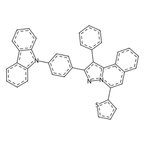 c1ccc(-c2c(-c3ccc(-n4c5ccccc5c5ccccc54)cc3)nn3c(-c4cccs4)cc4ccccc4c23)cc1